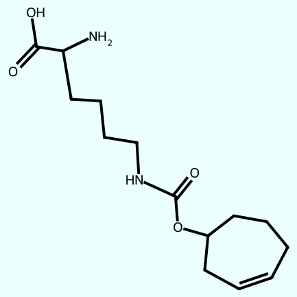 NC(CCCCNC(=O)OC1CC=CCCC1)C(=O)O